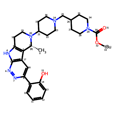 C[C@@H]1c2c([nH]c3nnc(-c4ccccc4O)cc23)CCN1C1CCN(CC2CCN(C(=O)OC(C)(C)C)CC2)CC1